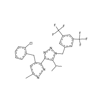 Cc1cc(Cc2ccccc2Cl)c(-c2nnn(Cc3cc(C(F)(F)F)cc(C(F)(F)F)c3)c2C(C)C)nn1